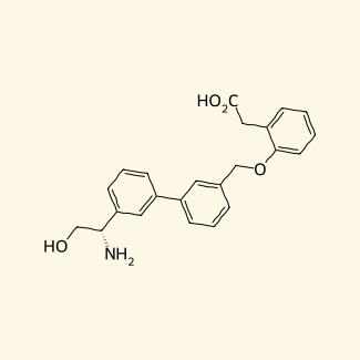 N[C@H](CO)c1cccc(-c2cccc(COc3ccccc3CC(=O)O)c2)c1